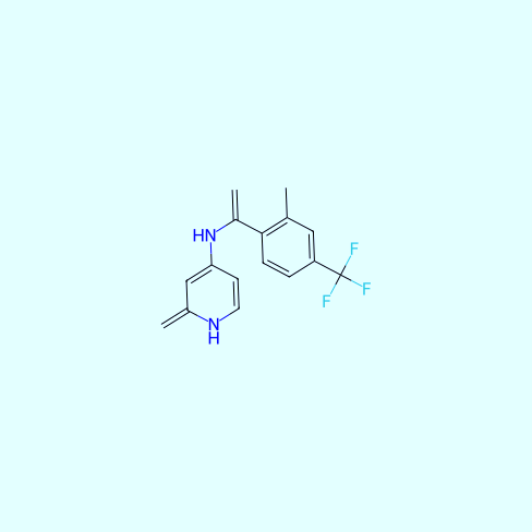 C=C1C=C(NC(=C)c2ccc(C(F)(F)F)cc2C)C=CN1